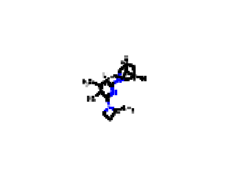 C[C@H]1CCN1c1nc(N2C[C@H]3C[C@@H](C2)C3CC(=O)O)cc(C(F)(F)F)c1C#N